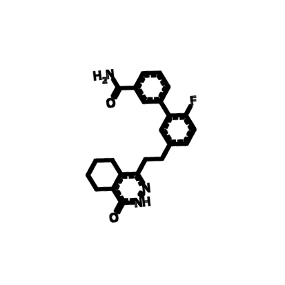 NC(=O)c1cccc(-c2cc(CCc3n[nH]c(=O)c4c3CCCC4)ccc2F)c1